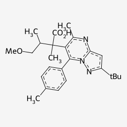 COCC(C)C(C)(C(=O)O)c1c(C)nc2cc(C(C)(C)C)nn2c1-c1ccc(C)cc1